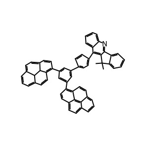 CC1(C)c2ccccc2-c2nc3ccccc3c(-c3ccc(-c4cc(C5=C6C=CC7=CC=CC8=CC=C(C=C5)C6C78)cc(-c5ccc6ccc7cccc8ccc5c6c78)c4)cc3)c21